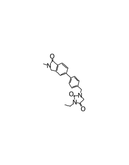 CCN1C(=O)CN(Cc2ccc(-c3ccc4c(c3)CN(C)C4=O)cc2)C1=O